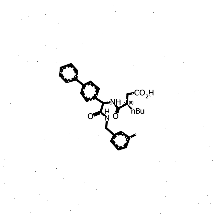 CCCC[C@H](CC(=O)O)C(=O)NC(C(=O)NCc1cccc(C)c1)c1ccc(-c2ccccc2)cc1